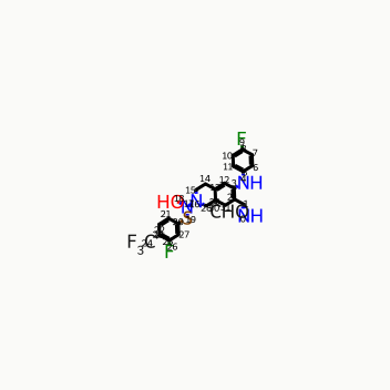 N=CC1=C(Nc2ccc(F)cc2)C=C2CCN(N(O)Sc3ccc(C(F)(F)F)c(F)c3)CC2(C=O)C1